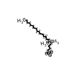 CCCCCCCCCCCCCCCC[N+](C)(C)CCCCS(=O)(=O)[O-]